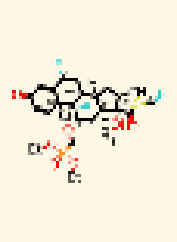 CCOP(=O)(CO[C@H]1C[C@@]2(C)[C@@H](C[C@@H](C)[C@]2(O)C(=O)SCF)[C@@H]2C[C@H](F)C3=CC(=O)C=C[C@]3(C)[C@@]12F)OCC